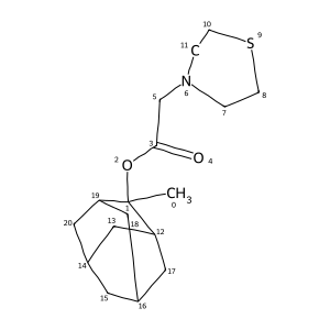 CC1(OC(=O)CN2CCSCC2)C2CC3CC(C2)CC1C3